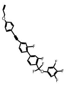 C=CCOc1ccc(C#Cc2ccc(-c3ccc(C(F)(F)Oc4cc(F)c(F)c(F)c4)c(F)c3)c(F)c2)cc1